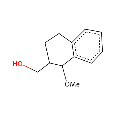 COC1c2ccccc2CCC1CO